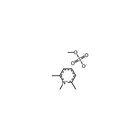 COS(=O)(=O)[O-].Cc1cccc(C)[n+]1C